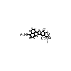 CC[C@@]1(O)C(=O)OCc2c1cc1n(c2=O)Cc2c-1nc1cc(F)c(NC(C)=O)c3c1c2CCC3